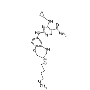 COCCCCO[C@H]1CNc2cc(Nc3ncc(C(N)=O)c(NC4CC4)n3)ccc2OC1